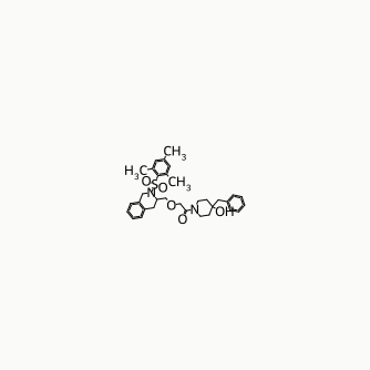 Cc1cc(C)c(S(=O)(=O)N2Cc3ccccc3CC2COCC(=O)N2CCC(O)(Cc3ccccc3)CC2)c(C)c1